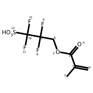 C=C(C)C(=O)OCC(F)(F)C(F)(F)S(=O)(=O)O